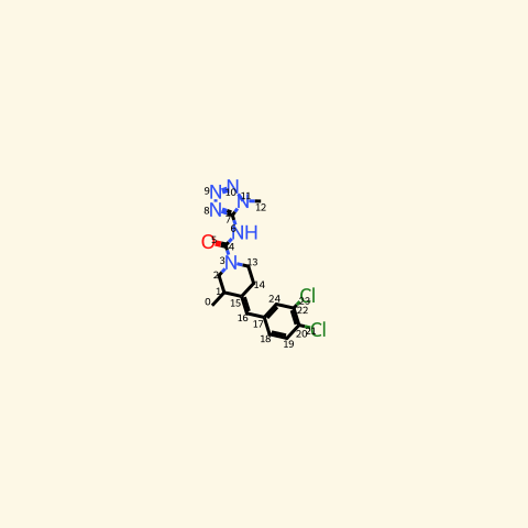 CC1CN(C(=O)Nc2nnnn2C)CCC1=Cc1ccc(Cl)c(Cl)c1